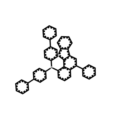 c1ccc(-c2ccc(N(c3ccc(-c4ccccc4)cc3)c3cccc4c(-c5ccccc5)cc5c6ccccc6sc5c34)cc2)cc1